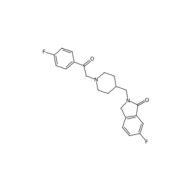 O=C(CN1CCC(CN2Cc3ccc(F)cc3C2=O)CC1)c1ccc(F)cc1